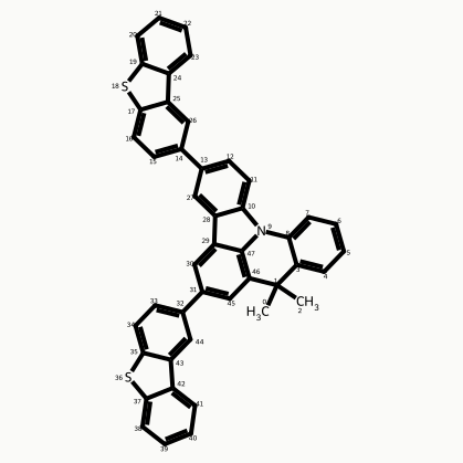 CC1(C)c2ccccc2-n2c3ccc(-c4ccc5sc6ccccc6c5c4)cc3c3cc(-c4ccc5sc6ccccc6c5c4)cc1c32